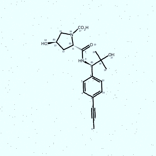 CC#Cc1ccc([C@@H](NC(=O)[C@@H]2C[C@@H](O)CN2C(=O)O)C(C)(C)O)cc1